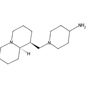 NC1CCN(C[C@@H]2CCCN3CCCC[C@H]23)CC1